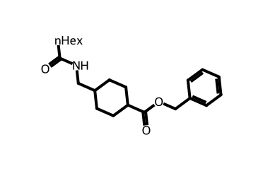 CCCCCCC(=O)NCC1CCC(C(=O)OCc2ccccc2)CC1